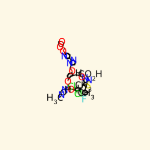 Cc1c(Cl)c2c(Cl)c(C)c1-c1c(-c3ccc(F)cc3)sc3ncnc(c13)O[C@@H](C(=O)O)Cc1cc(ccc1OCc1ccnc(-c3ccc(OC[C@H]4COCCO4)nc3)n1)OC[C@@H](CN1CCN(C)CC1)O2